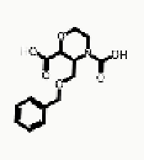 O=C(O)C1OCCN(C(=O)O)C1COCc1ccccc1